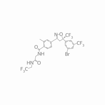 Cc1cc(C2=NO[C@@](c3cc(Br)cc(C(F)(F)F)c3)(C(F)(F)F)C2)ccc1C(=O)NCC(=O)NCC(F)(F)F